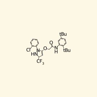 CC(C)(C)c1ccc(C(C)(C)C)c(NC(=O)COC2=CC(C(F)(F)F)NN2c2ccccc2Cl)c1